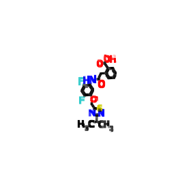 CC(C)c1nsc(COc2cc(NC(=O)Cc3ccccc3C(=O)O)c(F)cc2F)n1